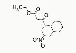 CCOC(=O)CC(=O)C1CC([N+](=O)[O-])CC2CCCCC21